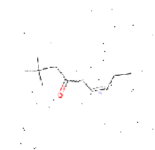 CC/C=C\CC(=O)CC(C)(C)C